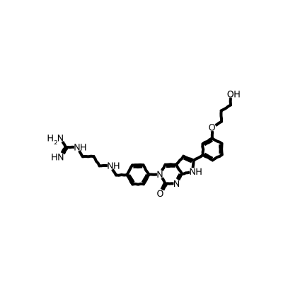 N=C(N)NCCCNCc1ccc(-n2cc3cc(-c4cccc(OCCCO)c4)[nH]c3nc2=O)cc1